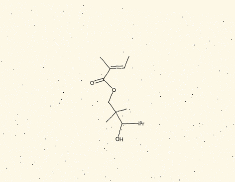 CC=C(C)C(=O)OCC(C)(C)C(O)C(C)C